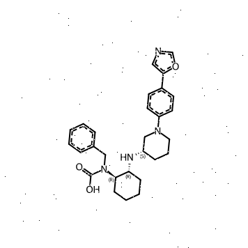 O=C(O)N(Cc1ccccc1)[C@@H]1CCCC[C@H]1N[C@H]1CCCN(c2ccc(-c3cnco3)cc2)C1